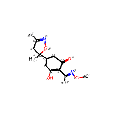 CCCC(=NOCC)C1=C(O)CC(C2(C)CC(C(C)C)=NO2)CC1=O